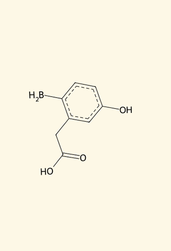 Bc1ccc(O)cc1CC(=O)O